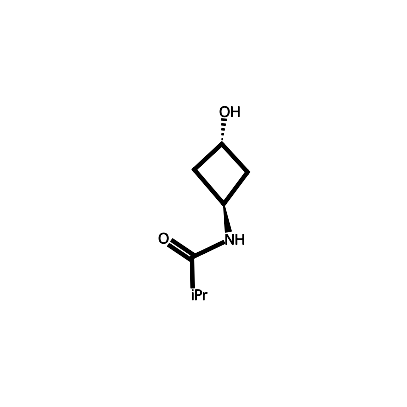 CC(C)C(=O)N[C@H]1C[C@H](O)C1